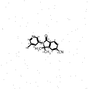 CC1(C)c2cc(C#N)ccc2C(=O)N1c1cncc(I)c1